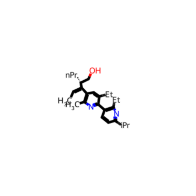 C/C=C(\c1cc(CC)c(-c2ccc(C(C)C)nc2CC)nc1C)[C@@H](CO)CCC